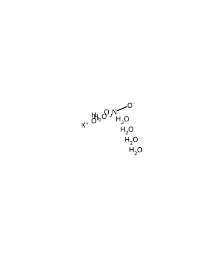 O.O.O.O.O.O.O=[N+]([O-])[O-].[K+]